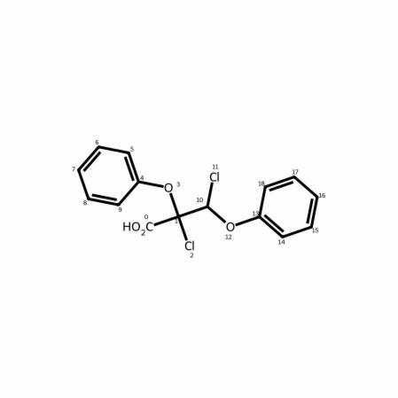 O=C(O)C(Cl)(Oc1ccccc1)C(Cl)Oc1ccccc1